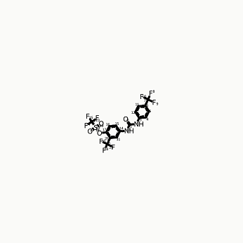 O=C(Nc1ccc(C(F)(F)F)cc1)Nc1ccc(OS(=O)(=O)C(F)(F)F)c(C(F)(F)F)c1